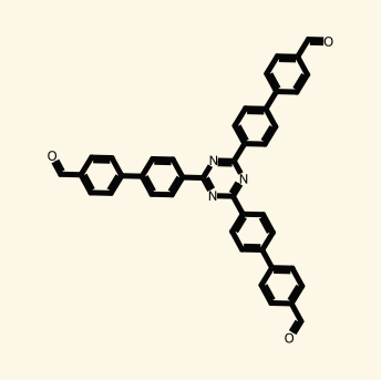 O=Cc1ccc(-c2ccc(-c3nc(-c4ccc(-c5ccc(C=O)cc5)cc4)nc(-c4ccc(-c5ccc(C=O)cc5)cc4)n3)cc2)cc1